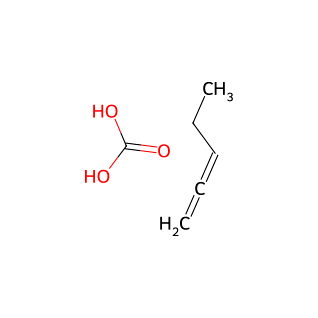 C=C=CCC.O=C(O)O